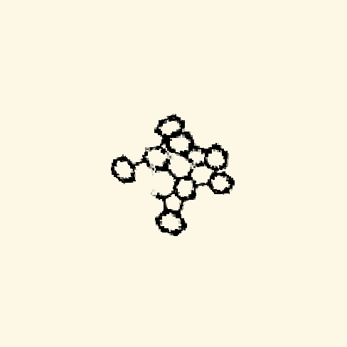 O=C1c2ccccc2-c2cc(-c3ccccc3)c(-n3c4ccccc4c4ccccc43)c(-c3nc(-c4ccccc4)nc(-c4ccccc4)n3)c21